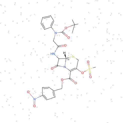 CC(C)(C)OC(=O)N(CC(=O)NC1C(=O)N2C(C(=O)OCc3ccc([N+](=O)[O-])cc3)=C(OS(C)(=O)=O)CS[C@@H]12)c1ccccc1